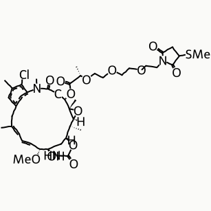 CO[C@@H]1/C=C/C=C(\C)Cc2cc(C)c(Cl)c(c2)N(C)C(=O)C[C@H](OC(=O)[C@H](C)OCCOCCOCCN2C(=O)CC(SC)C2=O)[C@]2(C)O[C@H]2[C@H](C)[C@@H]2C[C@@]1(O)NC(=O)O2